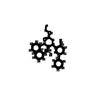 CCOC(=O)CC(c1cc(-c2ccccc2)ccc1F)N(Cc1ccccc1)[C@H](C)c1ccccc1